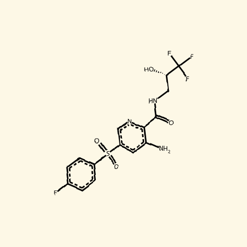 Nc1cc(S(=O)(=O)c2ccc(F)cc2)cnc1C(=O)NC[C@H](O)C(F)(F)F